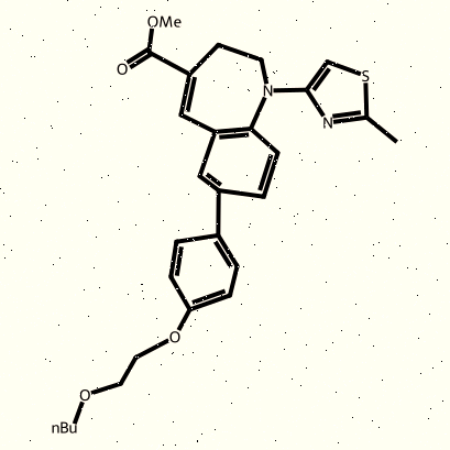 CCCCOCCOc1ccc(-c2ccc3c(c2)C=C(C(=O)OC)CCN3c2csc(C)n2)cc1